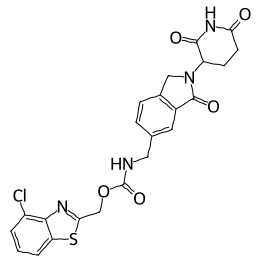 O=C1CCC(N2Cc3ccc(CNC(=O)OCc4nc5c(Cl)cccc5s4)cc3C2=O)C(=O)N1